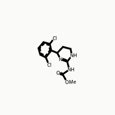 COC(=O)NC1=NC(c2c(Cl)cccc2Cl)CCN1